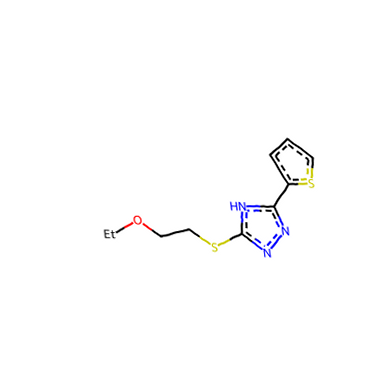 CCOCCSc1nnc(-c2cccs2)[nH]1